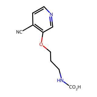 N#Cc1ccncc1OCCCNC(=O)O